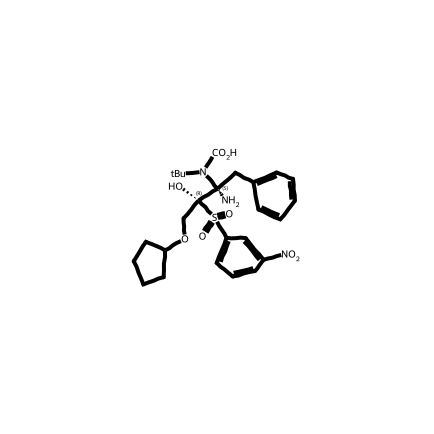 CC(C)(C)N(C(=O)O)[C@@](N)(Cc1ccccc1)[C@](O)(COC1CCCC1)S(=O)(=O)c1cccc([N+](=O)[O-])c1